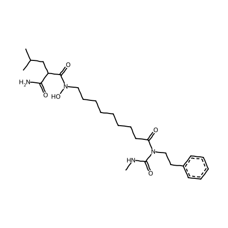 CNC(=O)N(CCc1ccccc1)C(=O)CCCCCCCCN(O)C(=O)C(CC(C)C)C(N)=O